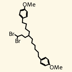 COc1ccc(CCCCCCC(CCCCc2ccc(OC)cc2)CCC(Br)Br)cc1